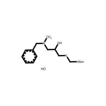 CCCCCCCCCCSCC(O)CN(C)Cc1ccccc1.Cl